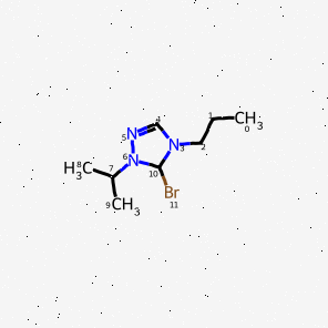 CCCN1C=NN(C(C)C)C1Br